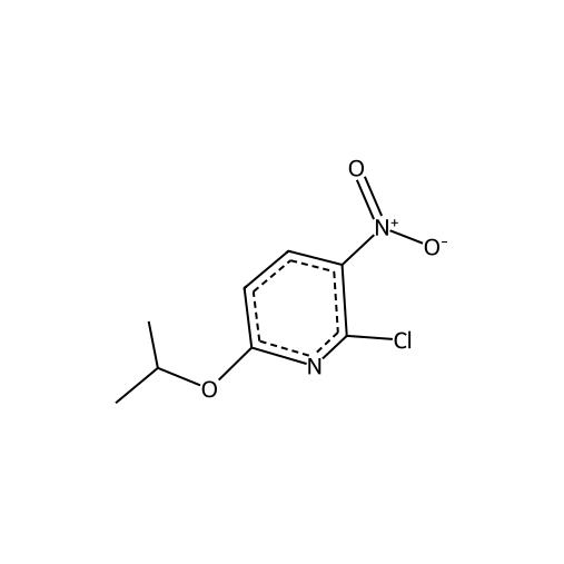 CC(C)Oc1ccc([N+](=O)[O-])c(Cl)n1